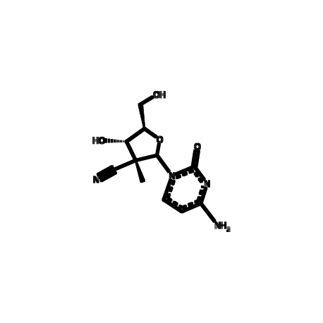 C[C@]1(C#N)C(n2ccc(N)nc2=O)O[C@H](CO)[C@H]1O